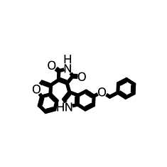 O=C1NC(=O)C(c2coc3ccccc23)=C1c1c[nH]c2ccc(OCc3ccccc3)cc12